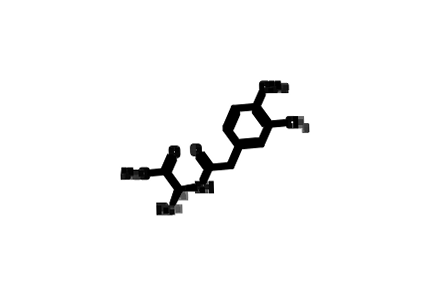 CC[C@H](C)[C@H](NC(=O)Cc1ccc(OC)c(C)c1)C(=O)OC